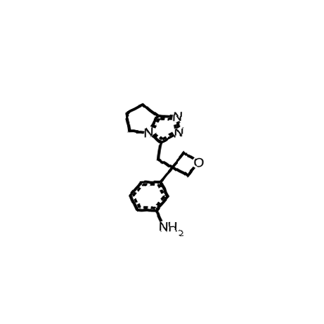 Nc1cccc(C2(Cc3nnc4n3CCC4)COC2)c1